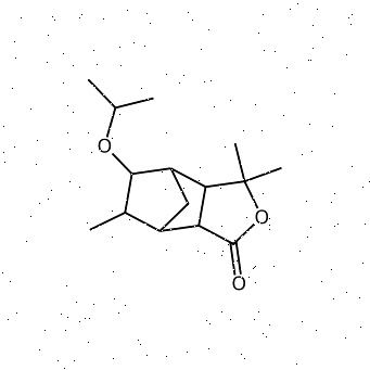 CC(C)OC1C(C)C2CC1C1C2C(=O)OC1(C)C